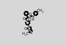 Cc1ccc(NC(=O)NC(C(=O)N2CCC(N3Cc4cnc(C)n4C3=O)CC2)c2ccccc2)cc1